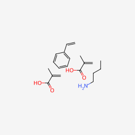 C=C(C)C(=O)O.C=C(C)C(=O)O.C=Cc1ccccc1.CCCCN